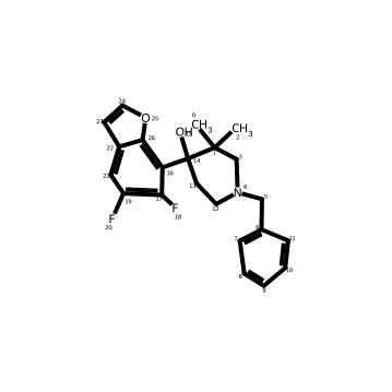 CC1(C)CN(Cc2ccccc2)CCC1(O)c1c(F)c(F)cc2ccoc12